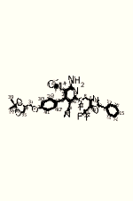 [C-]#[N+]c1c(N)nc(SCc2nc(-c3ccccc3)oc2C(F)(F)F)c(C#N)c1-c1ccc(OC[C@H]2COC(C)(C)O2)cc1